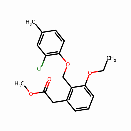 CCOc1cccc(CC(=O)OC)c1COc1ccc(C)cc1Cl